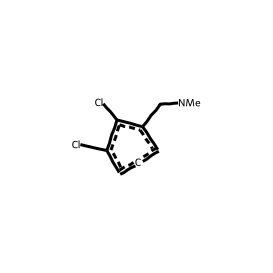 CNCc1cccc(Cl)c1Cl